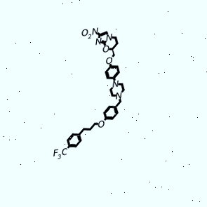 O=[N+]([O-])c1cn2c(n1)O[C@H](COc1ccc(N3CCN(Cc4ccc(OCCCc5ccc(C(F)(F)F)cc5)cc4)CC3)cc1)CC2